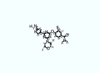 C[C@@H]1CN(c2nc(Oc3ccc(C(=O)N(C)C)cc3F)nc(-c3cnc(N)s3)n2)[C@H](C)CO1